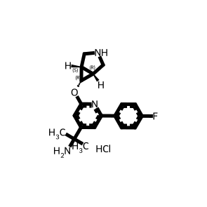 CC(C)(N)c1cc(O[C@@H]2[C@@H]3CNC[C@@H]32)nc(-c2ccc(F)cc2)c1.Cl